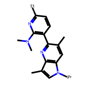 CCc1ccc(-c2nc3c(C)cn(C(C)C)c3cc2C)c(N(C)C)n1